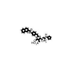 CN(CC(=O)NC1CCCC1)c1nc(Cc2ccc(NC(=O)c3ccc4ccccc4c3)cc2)nc(Cl)c1CC(=O)O